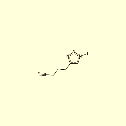 C#CCCCc1cn(I)nn1